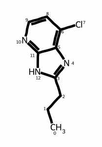 CCCc1nc2c(Cl)ccnc2[nH]1